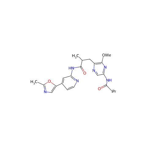 COc1nc(NC(=O)C(C)C)cnc1CC(C)C(=O)Nc1cc(-c2cnc(C)o2)ccn1